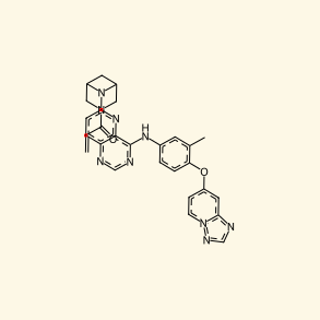 C=CC(=O)N1CC2CC(C1)N2c1ccc2ncnc(Nc3ccc(Oc4ccn5ncnc5c4)c(C)c3)c2n1